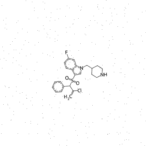 C=C(Cl)C(c1ccccc1)S(=O)(=O)c1cn(CC2CCNCC2)c2cc(F)ccc12